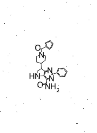 NC(=O)c1nc(-c2ccccc2)nc2c1NCC2C1CCN(C(=O)c2ccccc2)CC1